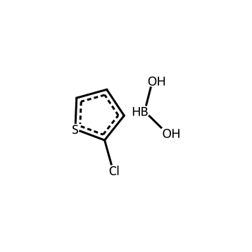 Clc1cccs1.OBO